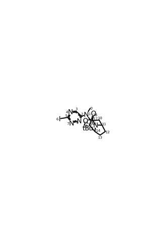 CN(c1cnc(I)nn1)C1CC2CCC(C1)N2C(=O)OC(C)(C)C